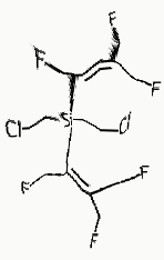 FC(F)=C(F)[Si](Cl)(Cl)C(F)=C(F)F